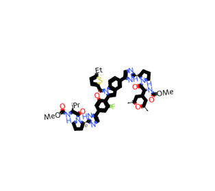 CCc1ccc(C2Oc3cc(-c4cnc([C@@H]5CCCN5C(=O)[C@@H](NC(=O)OC)C(C)C)[nH]4)cc(F)c3-c3cc4cc(-c5cnc([C@@H]6CCCN6C(=O)[C@H](NC(=O)OC)C6C[C@@H](C)O[C@@H](C)C6)[nH]5)ccc4n32)s1